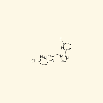 Fc1cccc(-c2nccn2Cc2cn3nc(Cl)ccc3n2)n1